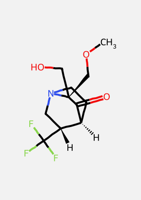 COC[C@@]1(CO)C(=O)[C@H]2CCN1C[C@H]2C(F)(F)F